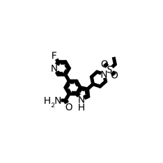 CCS(=O)(=O)N1CCC(c2c[nH]c3c(C(N)=O)cc(-c4ccc(F)nc4)cc23)CC1